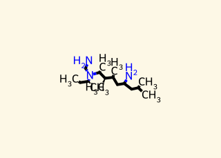 CC[C@@H](C)N(CN)C(C)[C@H](C)C(C)CC(N)CC(C)C